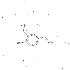 C=Cc1ccc(S)c(CCl)c1